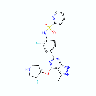 Cc1n[nH]c2nc(-c3ccc(NS(=O)(=O)c4ccccn4)c(F)c3)nc(O[C@@H]3CCNC[C@@H]3F)c12